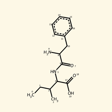 CCC(C)C(NC(=O)C(N)Cc1ccccc1)C(=O)O